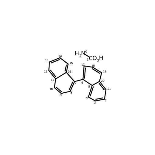 NC(=O)O.c1ccc2c(-c3cccc4ccccc34)cccc2c1